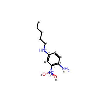 CCCCCNc1ccc(N)c([N+](=O)[O-])c1